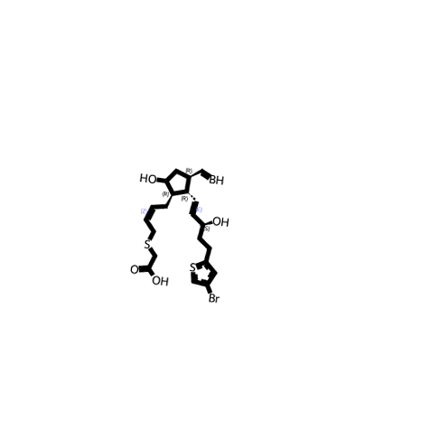 B=C[C@@H]1CC(O)[C@H](C/C=C\CSCC(=O)O)[C@H]1/C=C/[C@@H](O)CCc1cc(Br)cs1